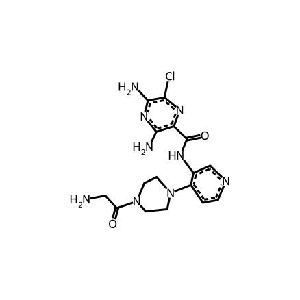 NCC(=O)N1CCN(c2ccncc2NC(=O)c2nc(Cl)c(N)nc2N)CC1